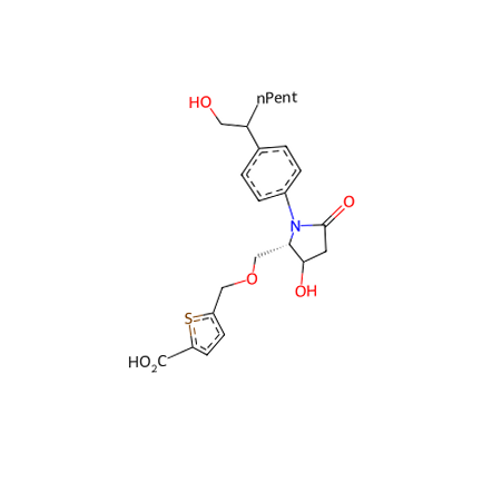 CCCCCC(CO)c1ccc(N2C(=O)CC(O)[C@@H]2COCc2ccc(C(=O)O)s2)cc1